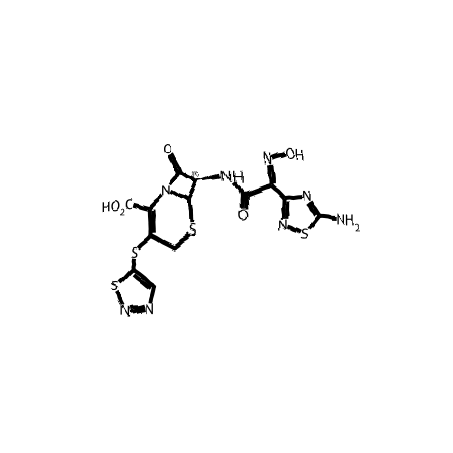 Nc1nc(C(=NO)C(=O)N[C@@H]2C(=O)N3C(C(=O)O)=C(Sc4cnns4)CSC23)ns1